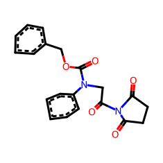 O=C1CCC(=O)N1C(=O)CN(C(=O)OCc1ccccc1)c1ccccc1